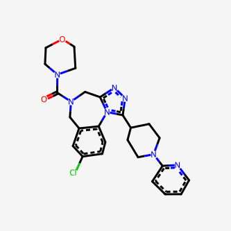 O=C(N1CCOCC1)N1Cc2cc(Cl)ccc2-n2c(nnc2C2CCN(c3ccccn3)CC2)C1